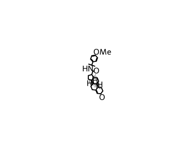 COc1ccc(C(C)(C)NC(=O)C2CC[C@H]3[C@@H]4CCC5=CC(=O)CC[C@]5(C)[C@@H]4CC[C@]23C)cc1